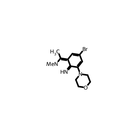 CN/C(C)=C1/C=C(Br)C=C(N2CCOCC2)C1=N